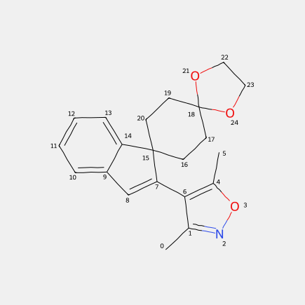 Cc1noc(C)c1C1=Cc2ccccc2C12CCC1(CC2)OCCO1